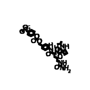 CC(C)NC(=O)C1(C(=O)N[C@@H](CCCNC(N)=O)C(=O)Nc2ccc(COC(=O)Oc3ccc([N+](=O)[O-])cc3)cc2)CCC1